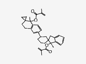 C=C(C)C(=O)OC1(C)c2ccc(C3CCCC4(Cc5ccccc5C4(C)OC(=O)C(=C)C)C3)cc2CCC12CC2